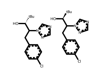 CC(C)(C)[C@@H](O)C(Cc1ccc(Cl)cc1)n1cncn1.CC(C)(C)[C@H](O)C(Cc1ccc(Cl)cc1)n1cncn1